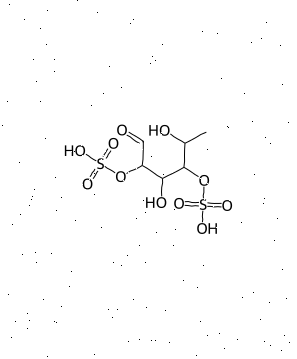 CC(O)C(OS(=O)(=O)O)C(O)C(C=O)OS(=O)(=O)O